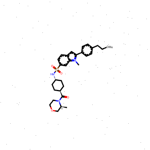 COCCc1ccc(-c2cc3ccc(S(=O)(=O)N[C@H]4CC[C@H](C(=O)N5CCOC[C@@H]5C)CC4)cc3n2C)cc1